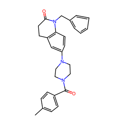 Cc1ccc(C(=O)N2CCN(c3ccc4c(c3)CCC(=O)N4Cc3ccccc3)CC2)cc1